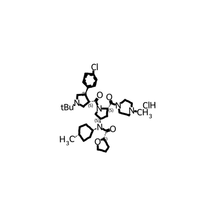 CN1CCN(C(=O)[C@@H]2C[C@H](N(C(=O)[C@@H]3CCCO3)[C@H]3CC[C@@H](C)CC3)CN2C(=O)[C@@H]2CN(C(C)(C)C)C[C@H]2c2ccc(Cl)cc2)CC1.Cl